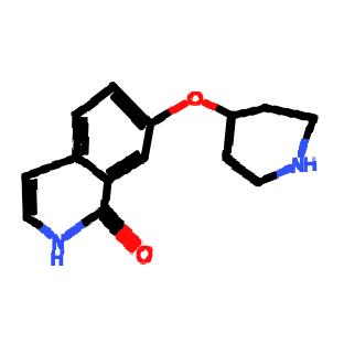 O=c1[nH]ccc2ccc(OC3CCNCC3)cc12